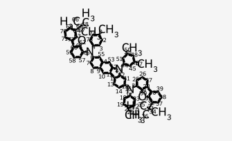 Cc1ccc(N(c2ccc3cc4c5ccc(N(c6ccc(C)cc6)c6cccc7c6oc6c(C(C)(C)C)cccc67)cc5n(-c5cc(C)cc(C)c5)c4cc3c2)c2cccc3c2oc2c(C(C)(C)C)cccc23)cc1